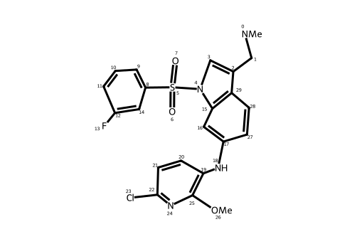 CNCc1cn(S(=O)(=O)c2cccc(F)c2)c2cc(Nc3ccc(Cl)nc3OC)ccc12